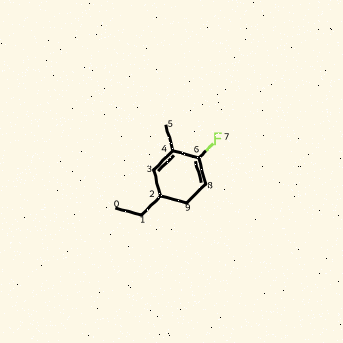 CCC1C=C(C)C(F)=CC1